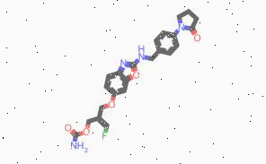 NC(=O)OCC(=CF)COc1ccc2nc(NCc3ccc(N4CCCC4=O)cc3)oc2c1